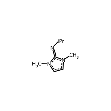 CC(C)N=c1n(C)ccn1C